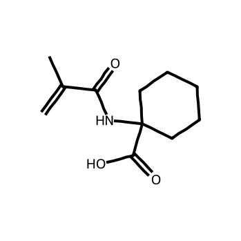 C=C(C)C(=O)NC1(C(=O)O)CCCCC1